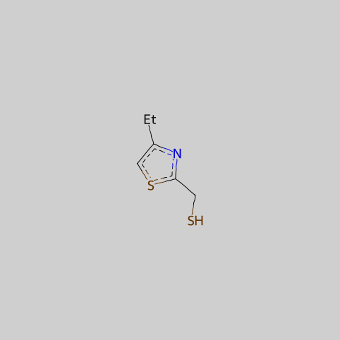 CCc1csc(CS)n1